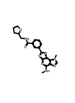 CNc1nc2sc(-c3cccc(C(=O)NCC4CCCO4)c3)nc2c2c1ncn2C